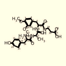 COc1ccc(CC(NC(=O)[C@@H](C)NC(=O)C(N)Cc2ccc(O)cc2)C(=O)NCCC(=O)O)cc1OC